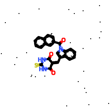 O=C1NC(=S)NC(=O)C1=Cc1cn(C(=O)c2ccc3ccccc3c2)c2ccccc12